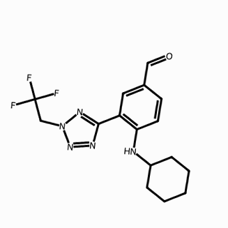 O=Cc1ccc(NC2CCCCC2)c(-c2nnn(CC(F)(F)F)n2)c1